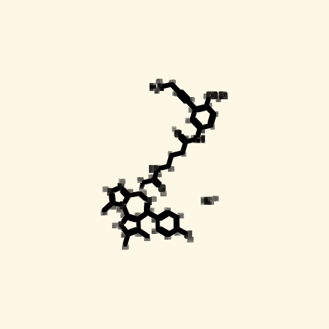 CCOC(=O)c1ccc(NC(=O)CCCNC(=O)C[C@@H]2N=C(c3ccc(Cl)cc3)c3c(sc(C)c3C)-n3c(C)nnc32)cc1C#CCN.Cl